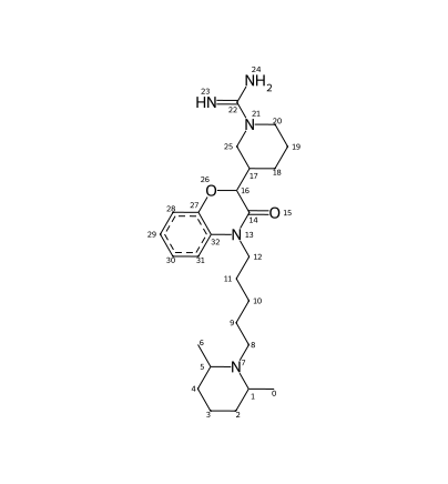 CC1CCCC(C)N1CCCCCN1C(=O)C(C2CCCN(C(=N)N)C2)Oc2ccccc21